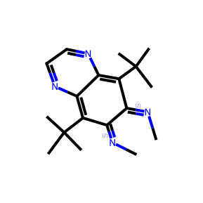 C/N=C1/C(C(C)(C)C)=c2nccnc2=C(C(C)(C)C)/C1=N/C